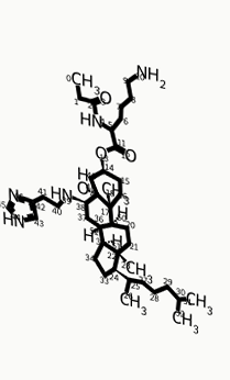 CCC(=O)NC(CCCCN)C(=O)O[C@H]1CC[C@]2(C)[C@H]3CC[C@]4(C)[C@@H](C(C)CCCC(C)C)CC[C@H]4[C@@H]3C[C@@H](NCCc3c[nH]cn3)[C@@]2(O)C1